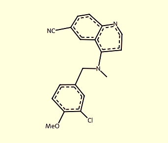 COc1ccc(CN(C)c2ccnc3ccc(C#N)cc23)cc1Cl